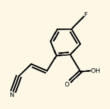 N#CC=Cc1ccc(F)cc1C(=O)O